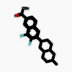 COC(=O)c1ccc2cc(C3CCC4CC(C)CCC4C3)c(F)c(F)c2c1